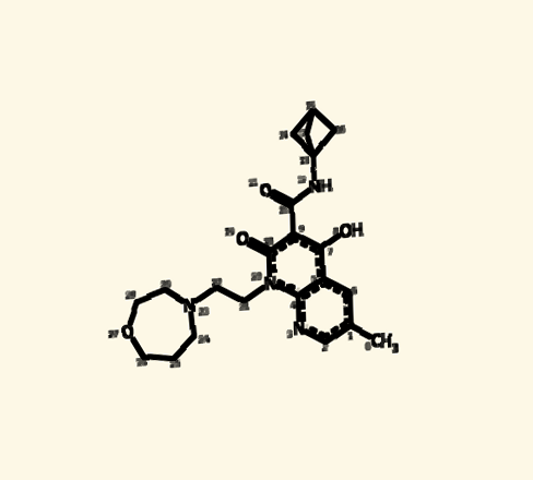 Cc1cnc2c(c1)c(O)c(C(=O)NC13CC(C1)C3)c(=O)n2CCN1CCCOCC1